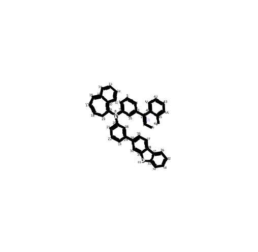 C/C=C(/c1cccc(N(C2=c3ccccc3=CC=CC2)c2cccc(-c3ccc4c(c3)sc3ccccc34)c2)c1)c1ccccc1C